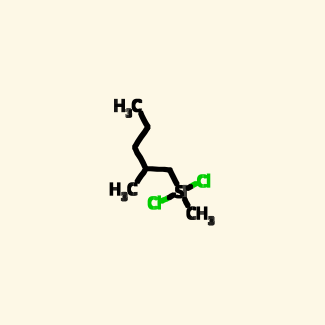 CCCC(C)C[Si](C)(Cl)Cl